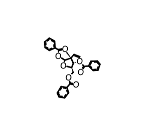 C=C[C@@]1(C)C(OC(=O)c2ccccc2)O[C@H](COC(=O)c2ccccc2)[C@H]1OC(=O)c1ccccc1